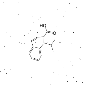 CC(C)c1c(C(=O)O)ccc2ccccc12